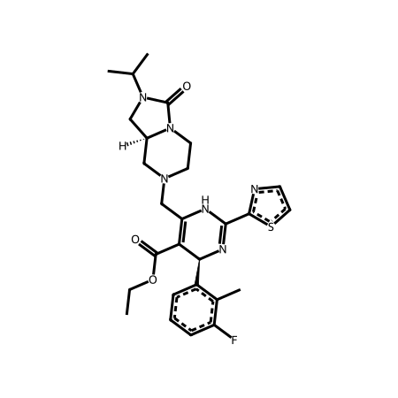 CCOC(=O)C1=C(CN2CCN3C(=O)N(C(C)C)C[C@@H]3C2)NC(c2nccs2)=N[C@H]1c1cccc(F)c1C